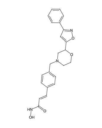 O=C(C=Cc1ccc(CN2CCOC(c3cc(-c4ccccc4)no3)C2)cc1)NO